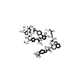 Cc1ncsc1-c1ccc([C@H](C)NC(=O)[C@@H]2C[C@@H](O)CN2C(=O)[C@@H](NC(=O)CC2CCC(c3cccc(OC[C@H](CCC(N)=O)NC(=O)[C@@H]4Cc5cccc6c5N4C(=O)[C@@H](NC(=O)c4cc5cc(C(=O)P(=O)(O)O)ccc5[nH]4)CC6)c3Cl)CC2)C(C)(C)C)cc1